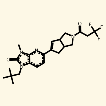 Cn1c(=O)n(CC(C)(C)C)c2ccc(C3=CC4CN(C(=O)CC(F)(F)F)CC4C3)nc21